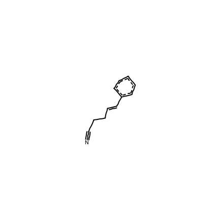 N#CCCC=Cc1ccccc1